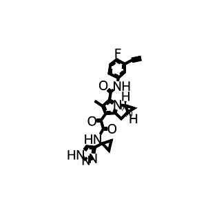 C#Cc1cc(NC(=O)c2c(C)c(C(=O)C(=O)NC3(c4c[nH]nn4)CC3)c3n2[C@@H]2C[C@@H]2C3)ccc1F